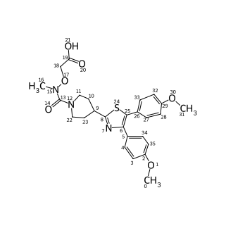 COc1ccc(-c2nc(C3CCN(C(=O)N(C)OCC(=O)O)CC3)sc2-c2ccc(OC)cc2)cc1